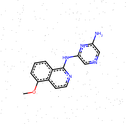 COc1cccc2c(Nc3cncc(N)n3)nccc12